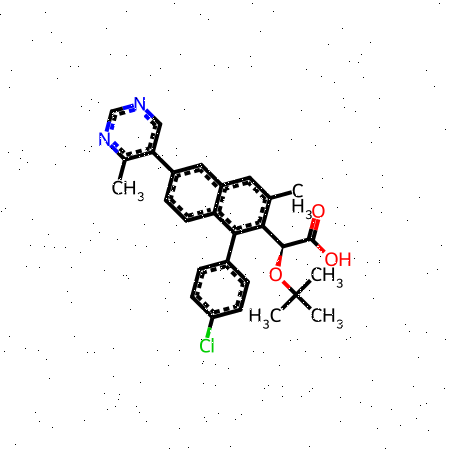 Cc1cc2cc(-c3cncnc3C)ccc2c(-c2ccc(Cl)cc2)c1[C@H](OC(C)(C)C)C(=O)O